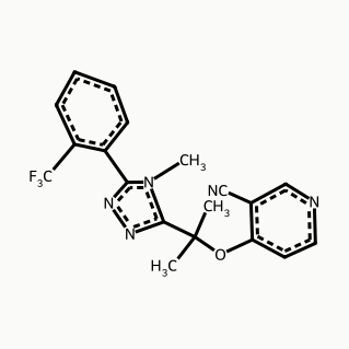 Cn1c(-c2ccccc2C(F)(F)F)nnc1C(C)(C)Oc1ccncc1C#N